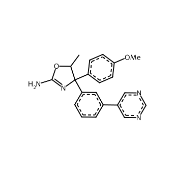 COc1ccc(C2(c3cccc(-c4cncnc4)c3)N=C(N)OC2C)cc1